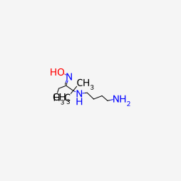 CC/C(=N\O)C(C)(C)NCCCCN